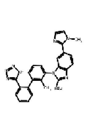 CCCCc1nc2ccc(-c3nccn3C)cc2n1-c1cccc(-c2ccccc2-c2nnn[nH]2)c1C